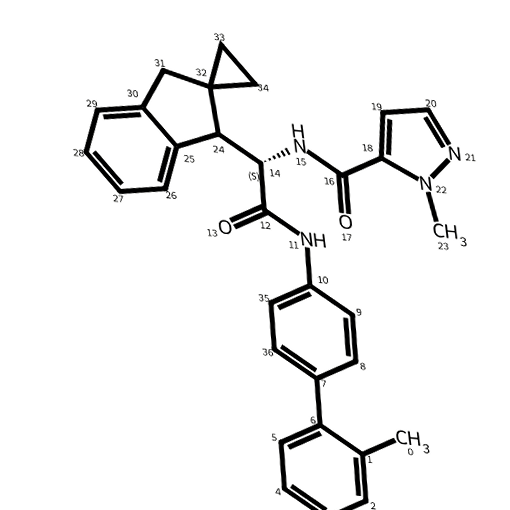 Cc1ccccc1-c1ccc(NC(=O)[C@@H](NC(=O)c2ccnn2C)C2c3ccccc3CC23CC3)cc1